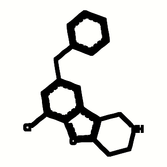 Clc1cc(Cc2ccccc2)cc2c3c(oc12)CCNC3